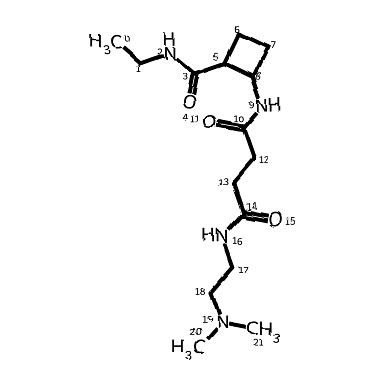 CCNC(=O)C1CCC1NC(=O)CCC(=O)NCCN(C)C